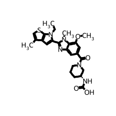 CCn1c(-c2nc3cc(C(=O)N4CCC[C@@H](NC(=O)O)C4)cc(OC)c3n2C)cc2c(C)csc21